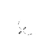 CCCCCCCCOS(=O)(=O)OCCCCCCCC.[Zn]